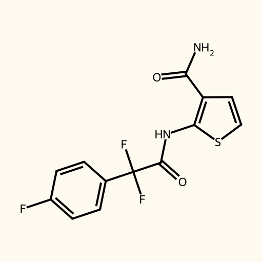 NC(=O)c1ccsc1NC(=O)C(F)(F)c1ccc(F)cc1